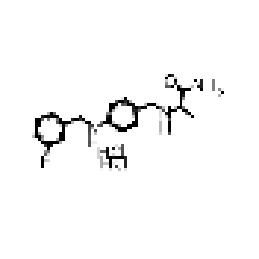 CC(NCc1ccc(NCc2cccc(F)c2)cc1)C(N)=O.Cl.Cl